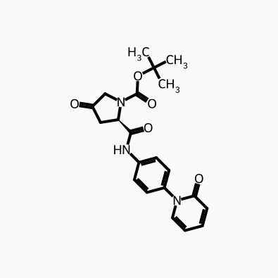 CC(C)(C)OC(=O)N1CC(=O)C[C@@H]1C(=O)Nc1ccc(-n2ccccc2=O)cc1